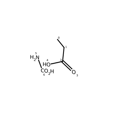 CCC(=O)O.NC(=O)O